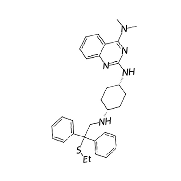 CCSC(CN[C@H]1CC[C@@H](Nc2nc(N(C)C)c3ccccc3n2)CC1)(c1ccccc1)c1ccccc1